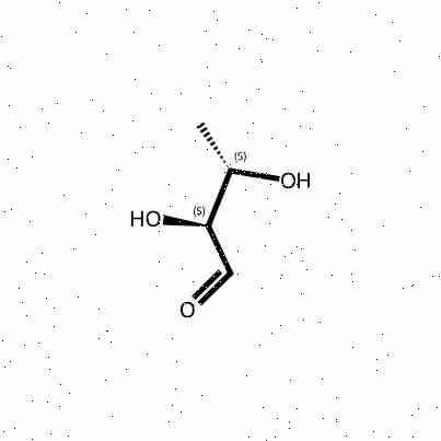 C[C@H](O)[C@H](O)C=O